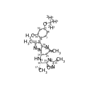 [2H]C([2H])([2H])Oc1ccc(-c2c(C)nn3c(N[C@@H](CC)c4nc(C)no4)cc(C)nc23)c(C)c1